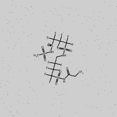 CS(=O)(=O)NS(=O)(=O)C(F)(F)C(F)(F)C(F)(F)S(=O)(=O)NCC(F)(F)C(F)(F)C(F)(F)S(=O)(=O)NC(=O)CC(F)(F)F